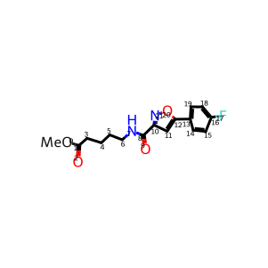 COC(=O)CCCCNC(=O)c1cc(-c2ccc(F)cc2)on1